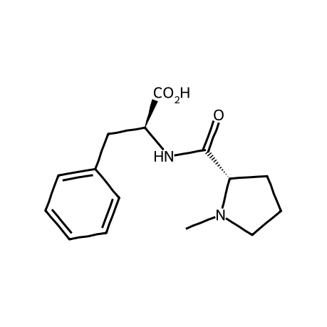 CN1CCC[C@H]1C(=O)N[C@@H](Cc1ccccc1)C(=O)O